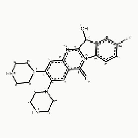 O=c1c2cc(N3CCNCC3)c(N3CCNCC3)cc2nc2n1-c1ccc(F)cc1C2O